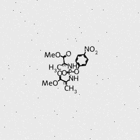 COC(=O)[C@H](C)NP(=O)(N[C@@H](C)C(=O)OC)Oc1ccc([N+](=O)[O-])cc1